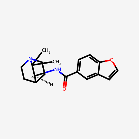 CC1(C)[C@@H](NC(=O)c2ccc3occc3c2)C2CCN1CC2